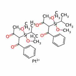 CO[Si](OC)(C(C)C)C(C(C)=O)C(=O)c1ccccc1.CO[Si](OC)(C(C)C)C(C(C)=O)C(=O)c1ccccc1.[Pt+2]